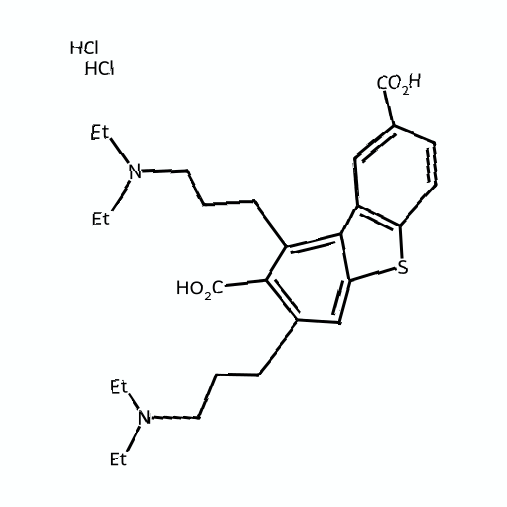 CCN(CC)CCCc1cc2sc3ccc(C(=O)O)cc3c2c(CCCN(CC)CC)c1C(=O)O.Cl.Cl